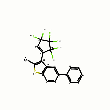 Cc1sc2ccc(-c3ccccc3)cc2c1C1=CC(F)(F)C(F)(F)C1(F)F